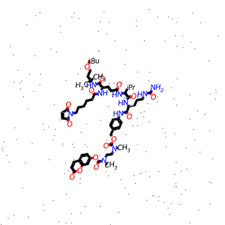 CC(C)C(NC(=O)CCC(NC(=O)CCCCCN1C(=O)C=CC1=O)C(=O)NC(C)(C)CCOC(C)(C)C)C(=O)N[C@@H](CCCNC(N)=O)C(=O)Nc1ccc(COC(=O)N(C)CCN(C)C(=O)Oc2ccc3ccc(=O)oc3c2)cc1